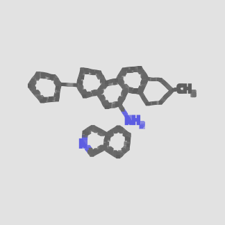 CC1CCc2c(ccc3c2c(N)cc2cc(-c4ccccc4)ccc23)C1.c1ccc2cnccc2c1